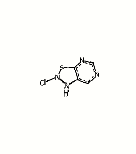 ClN1Nc2cncnc2S1